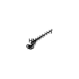 CC(C)CCCCCCCCCCCCCCNc1ccc(C(=O)CS(C)(=O)=O)cc1